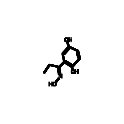 CCC(=NO)c1cc(O)ccc1O